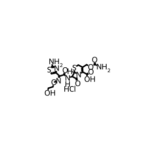 Cl.NC(=O)OCC1=C(C(=O)O)N2C(=O)C(NC(=O)C(=NOCCO)c3csc(N)n3)[C@@H]2SC1